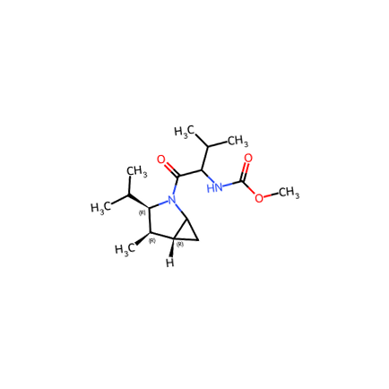 COC(=O)NC(C(=O)N1C2C[C@@H]2[C@@H](C)[C@H]1C(C)C)C(C)C